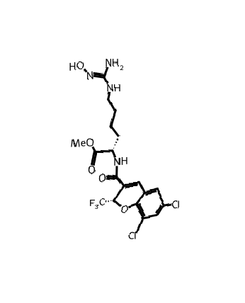 COC(=O)[C@H](CCCCNC(N)=NO)NC(=O)C1=Cc2cc(Cl)cc(Cl)c2O[C@@H]1C(F)(F)F